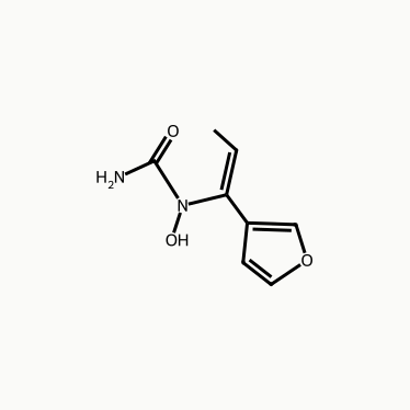 CC=C(c1ccoc1)N(O)C(N)=O